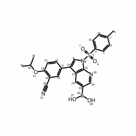 Cc1ccc(S(=O)(=O)n2cc(-c3ccc(OC(C)C)c(C#N)c3)c3cc(B(O)O)cnc32)cc1